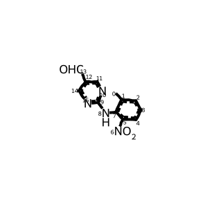 Cc1cccc([N+](=O)[O-])c1Nc1ncc(C=O)cn1